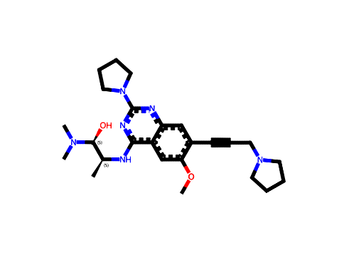 COc1cc2c(N[C@@H](C)[C@H](O)N(C)C)nc(N3CCCC3)nc2cc1C#CCN1CCCC1